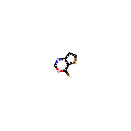 S=c1ocnc2ccsc12